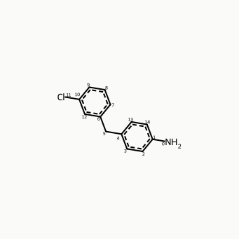 Nc1ccc(Cc2cccc(Cl)c2)cc1